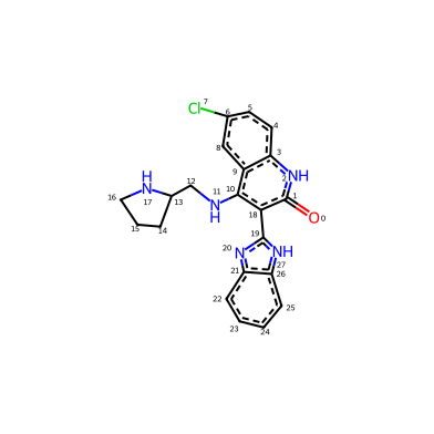 O=c1[nH]c2ccc(Cl)cc2c(NCC2CCCN2)c1-c1nc2ccccc2[nH]1